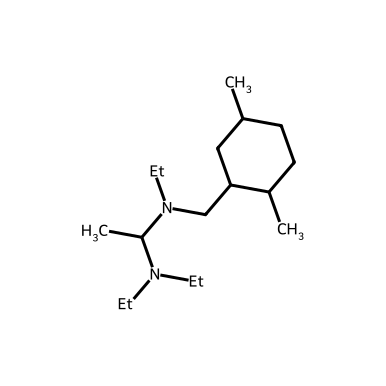 CCN(CC)C(C)N(CC)CC1CC(C)CCC1C